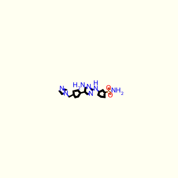 Nc1nc(Nc2cccc(S(N)(=O)=O)c2)ncc1-c1ccc(Cn2ccnc2)cc1